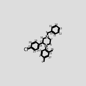 Cc1ccc(N2CCN(Cc3ccccc3)CC2c2ccc(Cl)cc2)c(C)c1